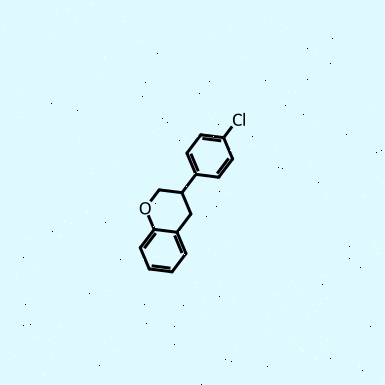 Clc1ccc(C2COc3ccccc3C2)cc1